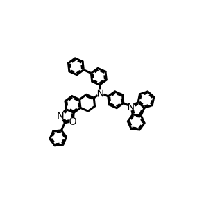 C1=C(N(c2ccc(-n3c4ccccc4c4ccccc43)cc2)c2cccc(-c3ccccc3)c2)CCc2c1ccc1nc(-c3ccccc3)oc21